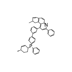 CC1C=Cc2ccc3nc(-c4ccccc4)cc(-c4cccc(-c5ccc(P(c6ccccc6)C6C=C[C@H](C)CC6)cc5)c4)c3c2C1